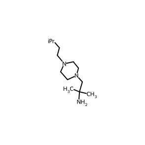 CC(C)CCN1CCN(CC(C)(C)N)CC1